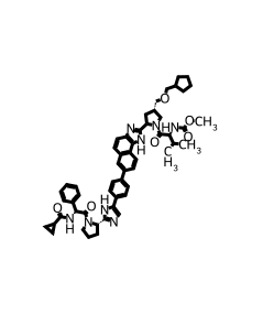 COC(=O)N[C@H](C(=O)N1C[C@@H](COCC2CCCC2)CC1c1nc2ccc3cc(-c4ccc(-c5cnc([C@@H]6CCCN6C(=O)[C@H](NC(=O)C6CC6)c6ccccc6)[nH]5)cc4)ccc3c2[nH]1)C(C)C